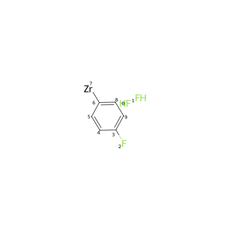 F.F.Fc1cc[c]([Zr])cc1